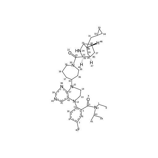 CCN(C(=O)c1cc(F)ccc1N1CCN(C2CCCN(C(=O)[C@H]3NC4CC[C@@H]3C[C@H]4CC3CC3)CC2)c2ncncc21)C(C)C